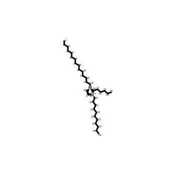 CCCCCCCCCCCCCCCn1cc[n+](CCCCCCCCCCC)c1CCCCC